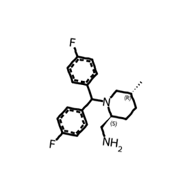 C[C@@H]1CC[C@@H](CN)N(C(c2ccc(F)cc2)c2ccc(F)cc2)C1